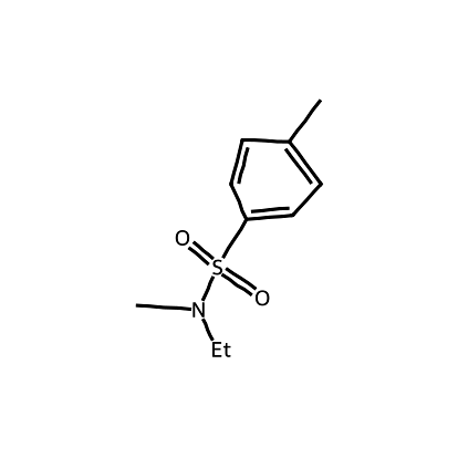 CCN(C)S(=O)(=O)c1ccc(C)cc1